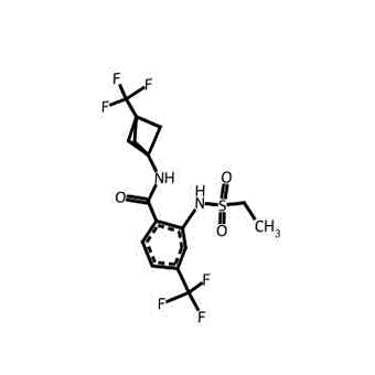 CCS(=O)(=O)Nc1cc(C(F)(F)F)ccc1C(=O)NC12CC(C(F)(F)F)(C1)C2